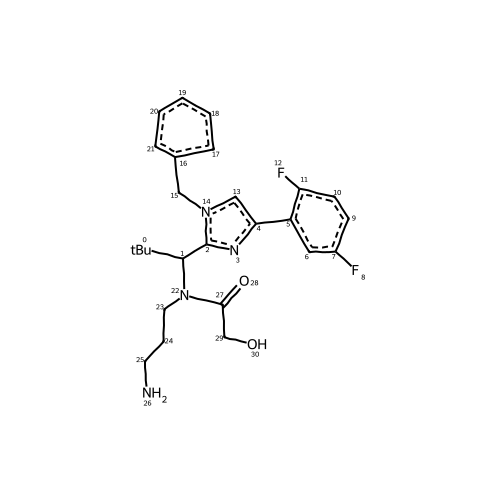 CC(C)(C)C(c1nc(-c2cc(F)ccc2F)cn1Cc1ccccc1)N(CCCN)C(=O)CO